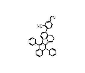 N#Cc1ccc(-c2ccc3c4c2CCC=C4c2c-3c(-c3ccccc3)c3ccccc3c2-c2ccccc2)c(C#N)c1